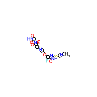 CN1CCC(SCc2nc3cc(OCC4CCN(c5ccc6c(c5)C(=O)N(C5CCC(=O)NC5=O)C6=O)CC4)cc(F)c3c(=O)[nH]2)CC1